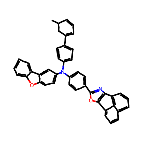 CC1C=CC=C(c2ccc(N(c3ccc(-c4nc5c(o4)-c4cccc6cccc-5c46)cc3)c3ccc4oc5ccccc5c4c3)cc2)C1